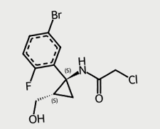 O=C(CCl)N[C@@]1(c2cc(Br)ccc2F)C[C@@H]1CO